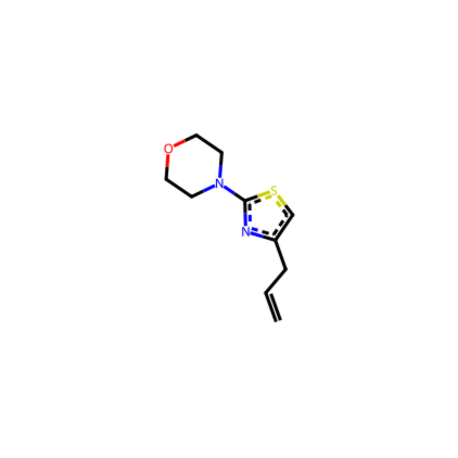 C=CCc1csc(N2CCOCC2)n1